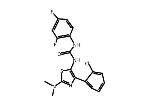 CN(C)c1nc(-c2ccccc2Cl)c(NC(=O)Nc2ccc(F)cc2F)s1